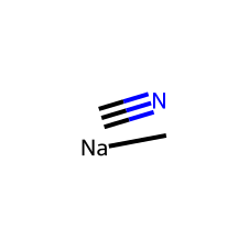 C#N.[CH3][Na]